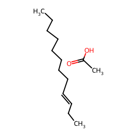 CC(=O)O.CCC=CCCCCCCCC